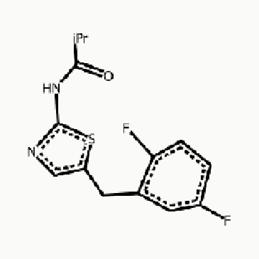 CC(C)C(=O)Nc1ncc(Cc2cc(F)ccc2F)s1